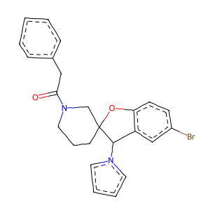 O=C(Cc1ccccc1)N1CCCC2(C1)Oc1ccc(Br)cc1C2n1cccc1